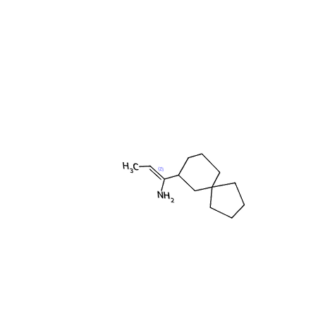 C/C=C(\N)C1CCCC2(CCCC2)C1